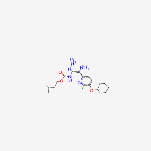 Cc1nc(/C(N)=C(\NC(=O)OCCC(C)C)N(C)N)ccc1OC1CCCCC1